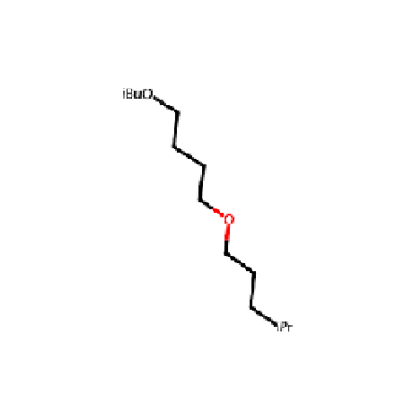 CC(C)CCCOCCCCOCC(C)C